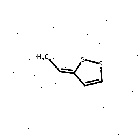 CC=C1C=CSS1